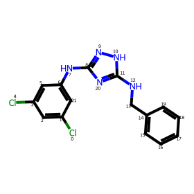 Clc1cc(Cl)cc(Nc2n[nH]c(NCc3ccccc3)n2)c1